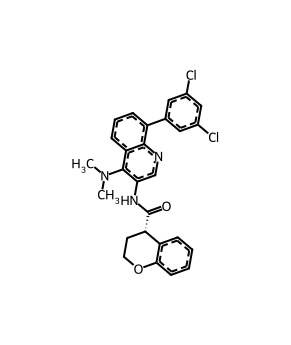 CN(C)c1c(NC(=O)[C@H]2CCOc3ccccc32)cnc2c(-c3cc(Cl)cc(Cl)c3)cccc12